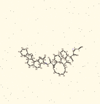 C=C/C=C\C(=C)C(=C)c1ccccc1C(=C)c1ccccccc(C(=C)/C=c2\c(=C)sc3c2ccc2ccc4c5ccccc5oc4c23)c2ccccc12